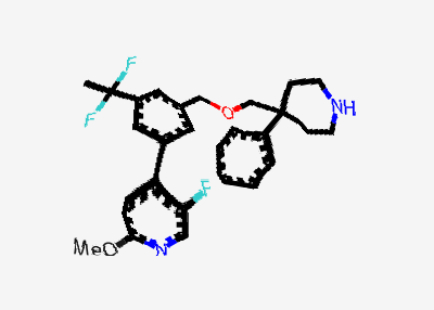 COc1cc(-c2cc(COCC3(c4ccccc4)CCNCC3)cc(C(C)(F)F)c2)c(F)cn1